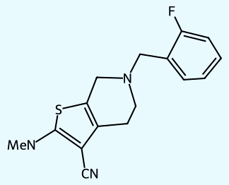 CNc1sc2c(c1C#N)CCN(Cc1ccccc1F)C2